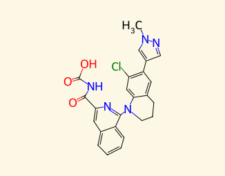 Cn1cc(-c2cc3c(cc2Cl)N(c2nc(C(=O)NC(=O)O)cc4ccccc24)CCC3)cn1